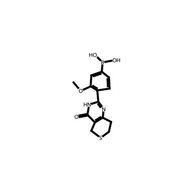 COc1cc(B(O)O)ccc1-c1nc2c(c(=O)[nH]1)CSCC2